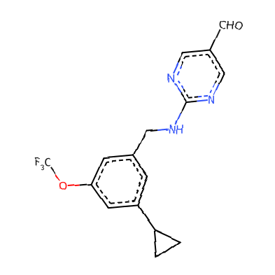 O=Cc1cnc(NCc2cc(OC(F)(F)F)cc(C3CC3)c2)nc1